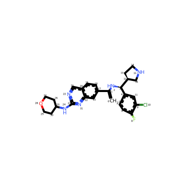 C=C(N[C@H](c1ccc(F)c(Cl)c1)[C@H]1CCNC1)c1ccc2cnc(NC3CCOCC3)nc2c1